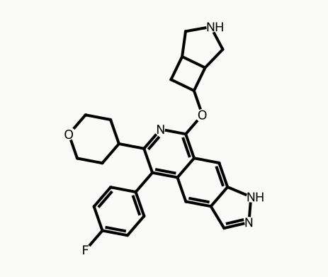 Fc1ccc(-c2c(C3CCOCC3)nc(OC3CC4CNCC43)c3cc4[nH]ncc4cc23)cc1